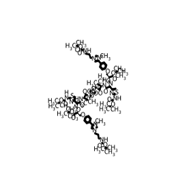 C[n+]1cn(CCCNC(=O)OC(C)(C)C)cc1-c1ccc(OC[C@H](O/N=C(\C(=O)N[C@@H]2C(=O)N(OS(=O)(=O)ON3C(=O)[C@@H](NC(=O)/C(=N\O[C@@H](COc4ccc(-c5cn(CCCNC(=O)OC(C)(C)C)c[n+]5C)cc4)C(=O)OC(C)(C)C)c4csc(NC(=O)OC(C)(C)C)n4)C3(C)C)C2(C)C)c2csc(NC(=O)OC(C)(C)C)n2)C(=O)OC(C)(C)C)cc1